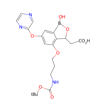 CC(C)(C)OC(=O)NCCCOc1cc(Oc2cnccn2)cc2c1C(CC(=O)O)OB2O